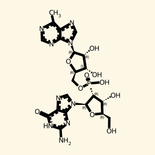 Cc1ncnc2c1ncn2[C@@H]1O[C@H](COP(=O)(O)[C@@H]2[C@H](O)[C@@H](CO)O[C@H]2n2cnc3c(=O)[nH]c(N)nc32)[C@@H](O)[C@H]1O